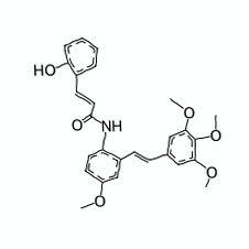 COc1ccc(NC(=O)/C=C/c2ccccc2O)c(C=Cc2cc(OC)c(OC)c(OC)c2)c1